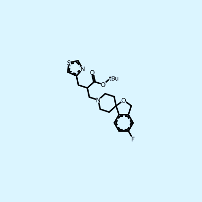 CC(C)(C)OC(=O)C(Cc1cscn1)CN1CCC2(CC1)OCc1cc(F)ccc12